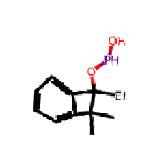 CCC1(OPO)c2ccccc2C1(C)C